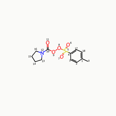 Cc1ccc(S(=O)(=O)OOC(=O)N2CCCC2)cc1